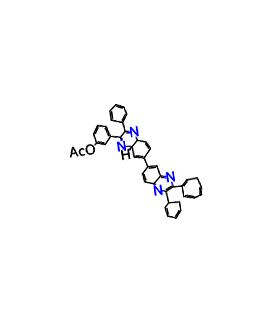 CC(=O)Oc1cccc(C2=N[C@H]3C=C(c4ccc5nc(C6C=CC=CC6)c(C6=CCC=CC=C6)nc5c4)C=CC3N=C2c2ccccc2)c1